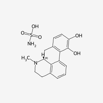 CN1CCc2cccc3c2[C@H]1Cc1ccc(O)c(O)c1-3.NS(=O)(=O)O